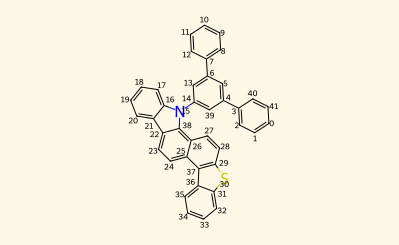 c1ccc(-c2cc(-c3ccccc3)cc(-n3c4ccccc4c4ccc5c(ccc6sc7ccccc7c65)c43)c2)cc1